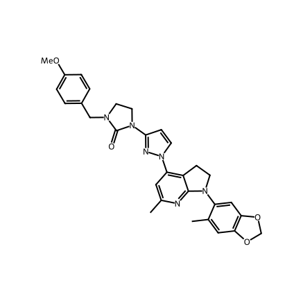 COc1ccc(CN2CCN(c3ccn(-c4cc(C)nc5c4CCN5c4cc5c(cc4C)OCO5)n3)C2=O)cc1